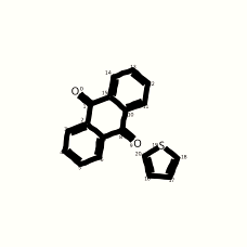 O=C1c2ccccc2C(=O)c2ccccc21.c1ccsc1